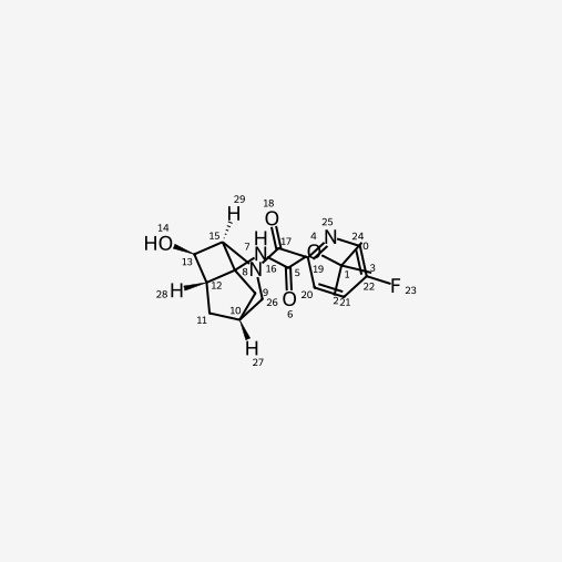 CC(C)(C)OC(=O)NC12C[C@H]3C[C@@H]1[C@@H](O)[C@H]2N(C(=O)c1ccc(F)cn1)C3